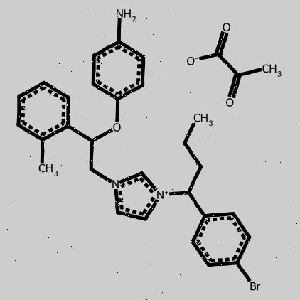 CC(=O)C(=O)[O-].CCCC(c1ccc(Br)cc1)[n+]1ccn(CC(Oc2ccc(N)cc2)c2ccccc2C)c1